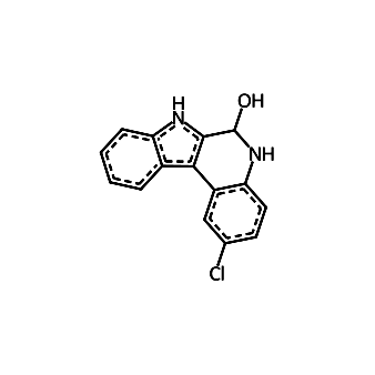 OC1Nc2ccc(Cl)cc2-c2c1[nH]c1ccccc21